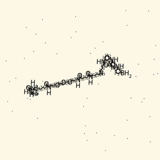 Bc1cccc(Nc2cc(Nc3cccc(NC(=O)/C=C/CN(C)CCCCNC(=O)CCCC(=O)NCCCOCCOCCOCCCNC(=O)CCCC[C@@H]4SC[C@@H]5NC(=O)N[C@@H]54)c3)ncn2)c1